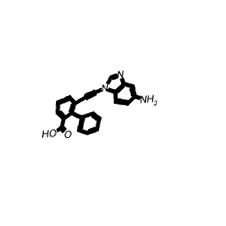 Nc1ccc2c(c1)ncn2C#Cc1cccc(C(=O)O)c1-c1ccccc1